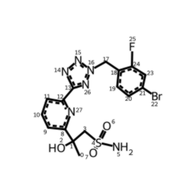 CC(O)(CS(N)(=O)=O)c1cccc(-c2nnn(Cc3ccc(Br)cc3F)n2)n1